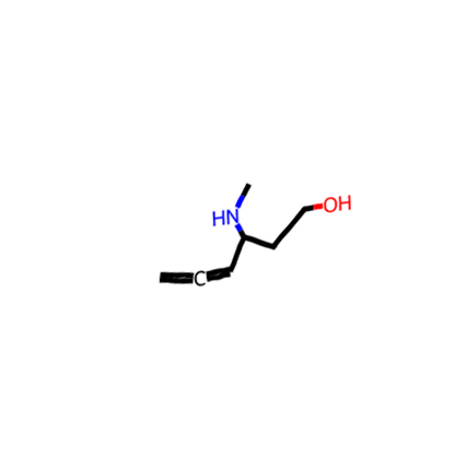 C=C=CC(CCO)NC